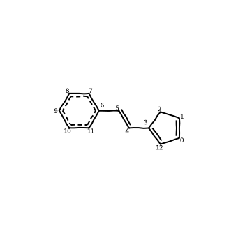 C1=CCC(/C=C/c2ccccc2)=C1